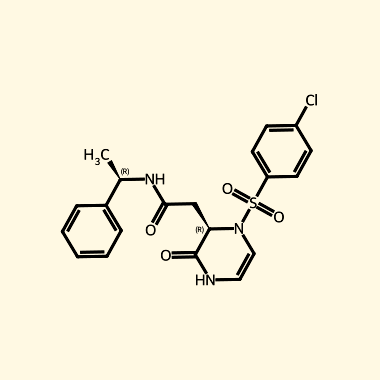 C[C@@H](NC(=O)C[C@@H]1C(=O)NC=CN1S(=O)(=O)c1ccc(Cl)cc1)c1ccccc1